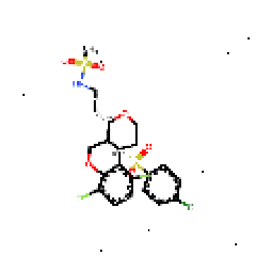 CS(=O)(=O)NCC[C@@H]1OCC[C@@]2(S(=O)(=O)c3ccc(Cl)cc3)c3c(F)ccc(F)c3OCC12